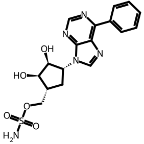 NS(=O)(=O)OC[C@H]1C[C@@H](n2cnc3c(-c4ccccc4)ncnc32)[C@H](O)[C@@H]1O